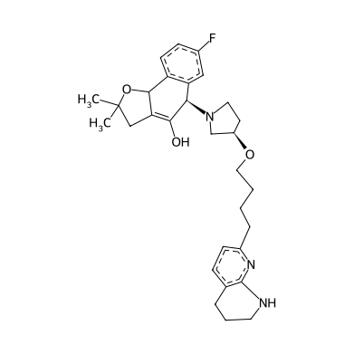 CC1(C)CC2=C(O)[C@H](N3CC[C@@H](OCCCCc4ccc5c(n4)NCCC5)C3)c3cc(F)ccc3C2O1